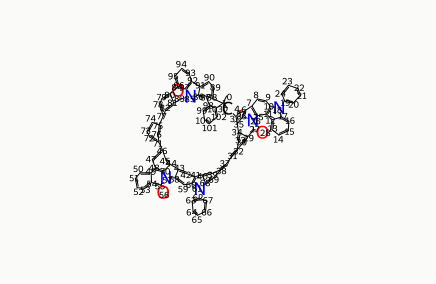 CC12Cc3ccc4c5ccc6c(c7ccccc7n6-c6ccccc6)c5n5c(=O)c6cc(ccc6c3c45)-c3ccc4c5cc6c7cc(cc8c9ccccc9c(=O)n(c6cc5n(-c5ccccc5)c4c3)c87)-c3cccc(c3)-c3ccc4c(c3)c(=O)n3c5c(c1ccc5c1cccc4c13)-c1ccccc12